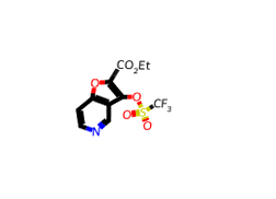 CCOC(=O)c1oc2ccncc2c1OS(=O)(=O)C(F)(F)F